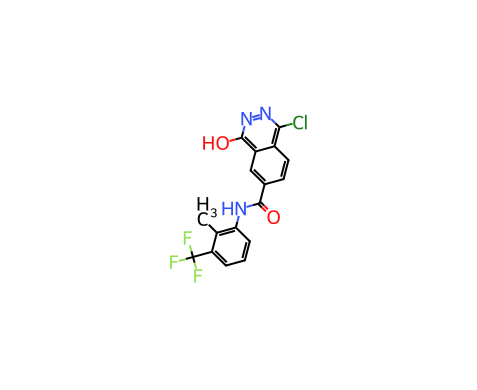 Cc1c(NC(=O)c2ccc3c(Cl)nnc(O)c3c2)cccc1C(F)(F)F